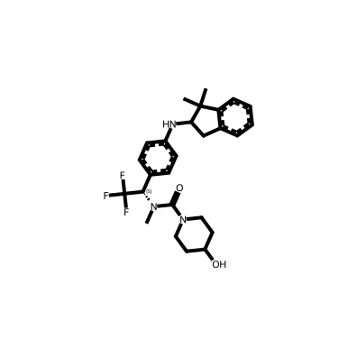 CN(C(=O)N1CCC(O)CC1)[C@@H](c1ccc(NC2Cc3ccccc3C2(C)C)cc1)C(F)(F)F